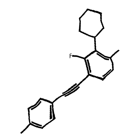 Cc1ccc(C#Cc2ccc(C)c(C3CCCCC3)c2F)cc1